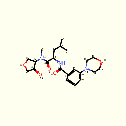 CC(C)CC(NC(=O)c1cccc(N2CCOCC2)c1)C(=O)N(C)C1COCC1=O